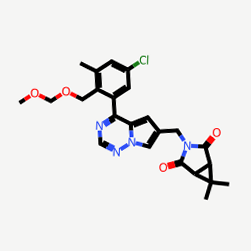 COCOCc1c(C)cc(Cl)cc1-c1ncnn2cc(CN3C(=O)C4C(C3=O)C4(C)C)cc12